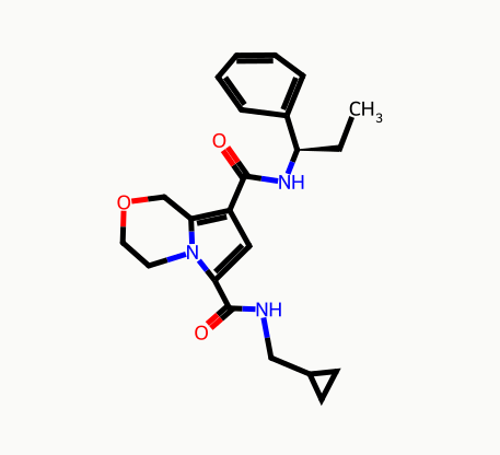 CC[C@@H](NC(=O)c1cc(C(=O)NCC2CC2)n2c1COCC2)c1ccccc1